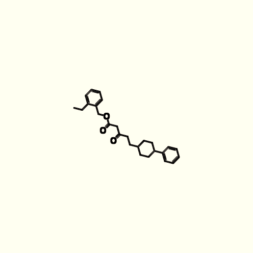 CCc1ccccc1COC(=O)CC(=O)CCC1CCC(c2ccccc2)CC1